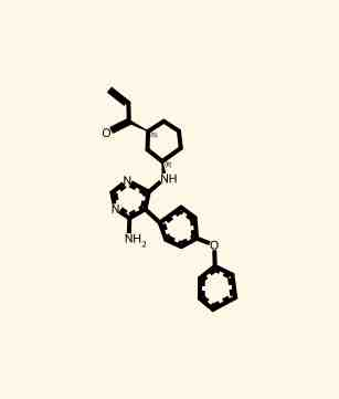 C=CC(=O)[C@H]1CCC[C@@H](Nc2ncnc(N)c2-c2ccc(Oc3ccccc3)cc2)C1